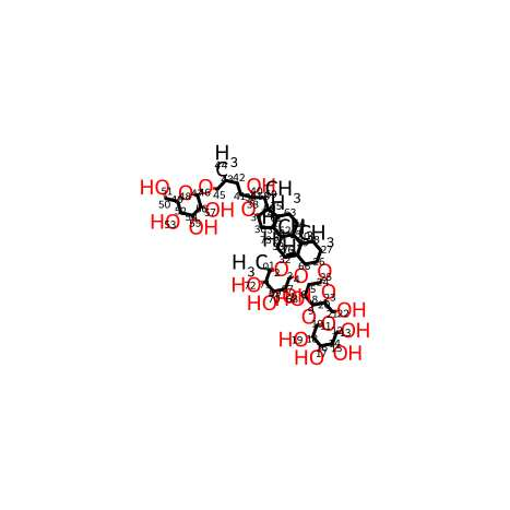 CC1O[C@@H](O[C@H]2C(O)[C@H](O[C@@H]3OC(O)[C@H](O)C(O)[C@@H]3O)C(CO)O[C@H]2OC2CC[C@@]3(C)C(=CC[C@H]4[C@@H]5CC6OC(O)(CC[C@@H](C)CO[C@@H]7OC(CO)[C@@H](O)C(O)[C@@H]7O)[C@@H](C)[C@@H]6[C@@]5(C)CC[C@@H]43)C2)[C@@H](O)C(O)[C@H]1O